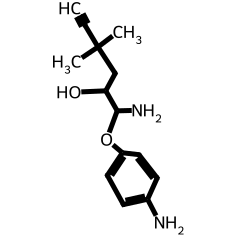 C#CC(C)(C)CC(O)C(N)Oc1ccc(N)cc1